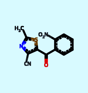 Cc1nc(C#N)c(C(=O)c2ccccc2[N+](=O)[O-])s1